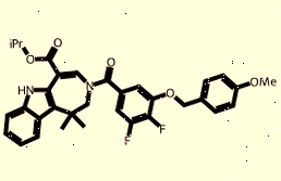 COc1ccc(COc2cc(C(=O)N3C=C(C(=O)OC(C)C)c4[nH]c5ccccc5c4C(C)(C)C3)cc(F)c2F)cc1